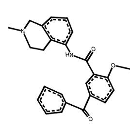 COc1ccc(C(=O)c2ccccc2)cc1C(=O)Nc1cccc2c1CCN(C)C2